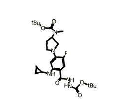 CN(C(=O)OC(C)(C)C)C1CCN(c2cc(NC3CC3)c(C(=O)NNC(=O)OC(C)(C)C)cc2F)C1